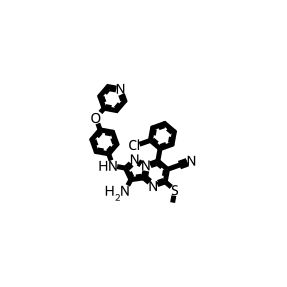 CSc1nc2c(N)c(Nc3ccc(Oc4ccncc4)cc3)nn2c(-c2ccccc2Cl)c1C#N